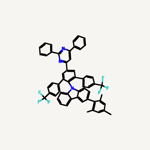 Cc1cc(C)c(-c2ccc3c(c2)c2ccccc2n3-c2c(-c3ccc(C(F)(F)F)cc3)cc(-c3cc(-c4ccccc4)nc(-c4ccccc4)n3)cc2-c2ccc(C(F)(F)F)cc2)c(C)c1